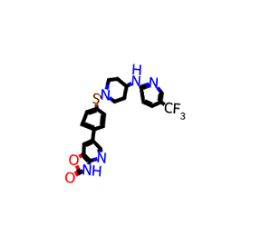 O=c1[nH]c2ncc(-c3ccc(SN4CCC(Nc5ccc(C(F)(F)F)cn5)CC4)cc3)cc2o1